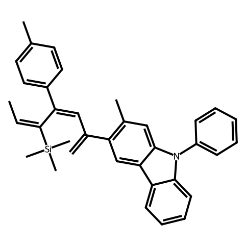 C=C(/C=C(\C(=C/C)[Si](C)(C)C)c1ccc(C)cc1)c1cc2c3ccccc3n(-c3ccccc3)c2cc1C